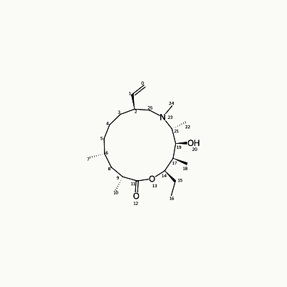 C=C[C@@H]1CCC[C@@H](C)C[C@@H](C)C(=O)O[C@H](CC)[C@H](C)[C@H](O)[C@@H](C)N(C)C1